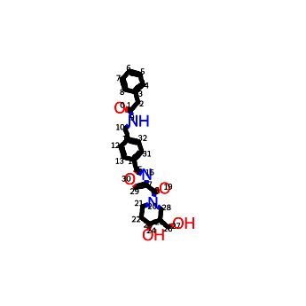 O=C(Cc1ccccc1)NCc1ccc(-c2nc(C(=O)N3CCC(O)C(CO)C3)co2)cc1